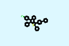 Clc1ccc(-c2c(-c3ccccc3)c3sc(-c4ccccc4)c(-c4ccc(-c5ccccc5)cc4)c3c3ccccc23)cc1